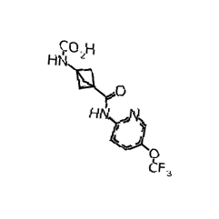 O=C(O)NC12CC(C(=O)Nc3ccc(OC(F)(F)F)cn3)(C1)C2